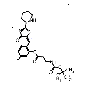 CC(C)(C)OC(=O)NCCC(=O)Oc1cc(F)ccc1/C=C1/SC(N2CCCCN2)=NC1=O